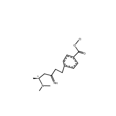 C[C@@H](CC(=N)CCc1ccc(C(=O)OCl)cc1)N(C)C